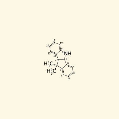 CC1(C)c2ccccc2C2Nc3ccccc3C21